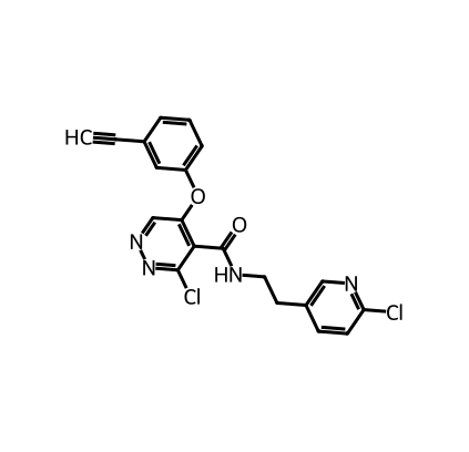 C#Cc1cccc(Oc2cnnc(Cl)c2C(=O)NCCc2ccc(Cl)nc2)c1